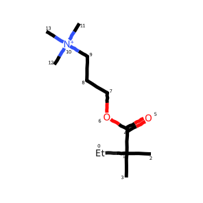 CCC(C)(C)C(=O)OCCC[N+](C)(C)C